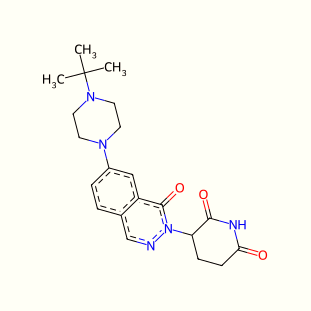 CC(C)(C)N1CCN(c2ccc3cnn(C4CCC(=O)NC4=O)c(=O)c3c2)CC1